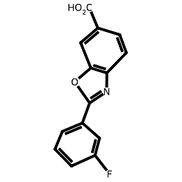 O=C(O)c1ccc2nc(-c3cccc(F)c3)oc2c1